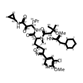 C=C(CC1CCCCC1)N[C@H](C(=O)N1C[C@@]2(CC(c3cnc(OC)c(Cl)c3)=NO2)C[C@H]1C(=O)N[C@@H](CCC)C(=O)C(=O)NC1CC1)C(C)(C)OC